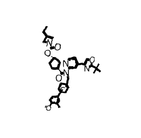 CCC1CN(C(=O)O[C@H]2CC[C@H](C(=O)N(CC34CCC(c5ccc(OC)c(C)c5)(CC3)CC4)c3cc(-c4coc(C(C)(C)C)n4)ccn3)CC2)C1